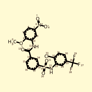 COc1ccc([N+](=O)[O-])cc1NC(=O)c1cccc(S(=O)(=O)Nc2cc(C(F)(F)F)ccc2Cl)c1